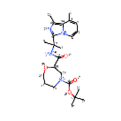 Cc1cccn2c(C(C)(C)NC(=O)C3CN(C(=O)OC(C)(C)C)CCCO3)nc(C)c12